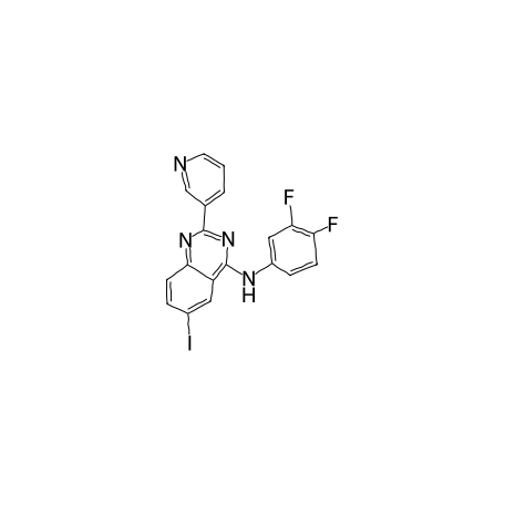 Fc1ccc(Nc2nc(-c3cccnc3)nc3ccc(I)cc23)cc1F